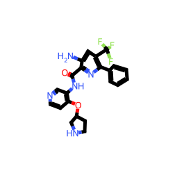 Nc1cc(C(F)(F)F)c(-c2ccccc2)nc1C(=O)Nc1cnccc1OC1CCNC1